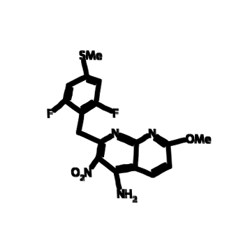 COc1ccc2c(N)c([N+](=O)[O-])c(Cc3c(F)cc(SC)cc3F)nc2n1